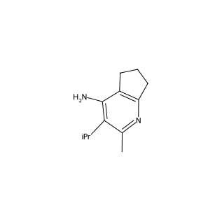 Cc1nc2c(c(N)c1C(C)C)CCC2